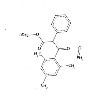 CCCCCCCCCCOC(=O)C(C(=O)c1c(C)cc(C)cc1C)c1ccccc1.O=[PH3]